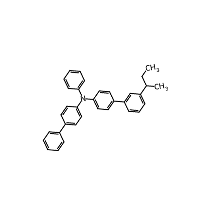 CCC(C)c1cccc(-c2ccc(N(c3ccccc3)c3ccc(-c4ccccc4)cc3)cc2)c1